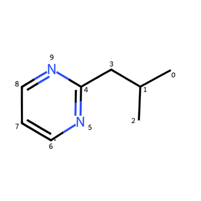 CC(C)Cc1n[c]ccn1